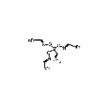 C=C[Si](ON=CCCC)(ON=CCCC)ON=CCCC